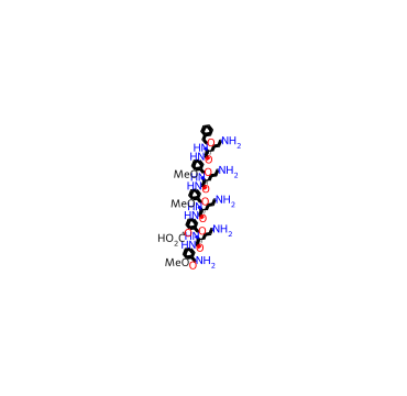 COc1ccc(NC(=O)[C@H](CCCCN)NC(=O)c2cc(NC(=O)[C@H](CCCCN)NC(=O)c3cc(NC(=O)[C@H](CCCCN)NC(=O)c4cc(NC(=O)[C@H](CCCCN)NC(=O)Cc5ccccc5)ccc4OC)ccc3OC)ccc2OCC(=O)O)cc1C(N)=O